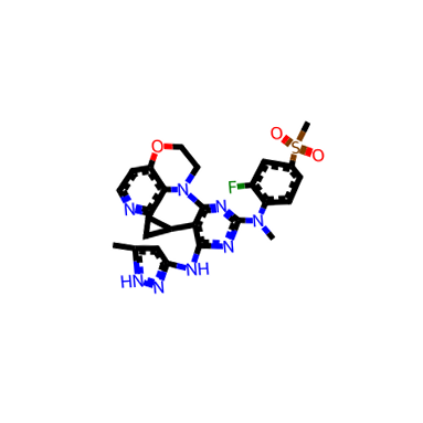 Cc1cc(Nc2nc(N(C)c3ccc(S(C)(=O)=O)cc3F)nc(N3CCOc4ccncc43)c2C2CC2)n[nH]1